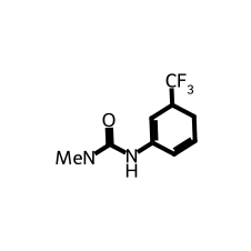 CNC(=O)NC1=CC(C(F)(F)F)CC=C1